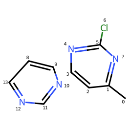 Cc1ccnc(Cl)n1.c1cncnc1